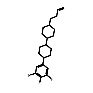 C=CCCC1CCC(C2CCC(c3cc(F)c(F)c(F)c3)CC2)CC1